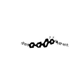 CCCCCOc1ccc(-c2ccc(-c3ccc(-c4ccc(CCCCC)cc4)cc3)cc2)c(F)c1F